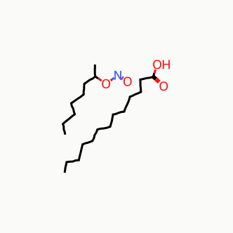 CCCCCCC(C)ON=O.CCCCCCCCCCCCC(=O)O